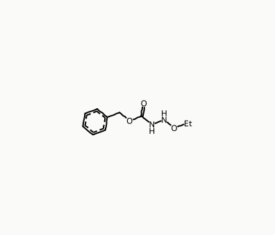 CCONNC(=O)OCc1ccccc1